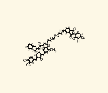 Cc1cc(/C=C2\CN(C(=O)[C@@H](Cc3ccccc3)NC(=O)CCOCCOCCOCCNc3ccc4c(c3)C(=O)N(C3CCC(=O)NC3=O)C4=O)C/C(=C\c3ccc(Cl)c(Cl)c3)C2=O)ccc1Cl